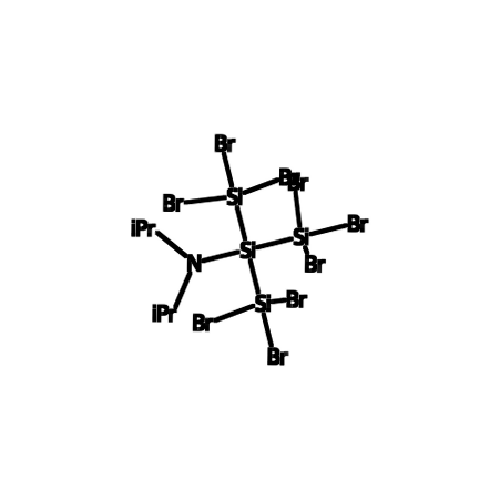 CC(C)N(C(C)C)[Si]([Si](Br)(Br)Br)([Si](Br)(Br)Br)[Si](Br)(Br)Br